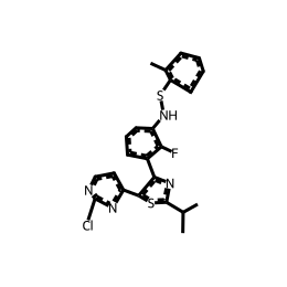 Cc1ccccc1SNc1cccc(-c2nc(C(C)C)sc2-c2ccnc(Cl)n2)c1F